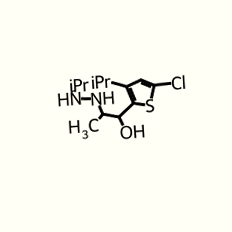 CC(C)NNC(C)C(O)c1sc(Cl)cc1C(C)C